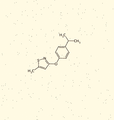 Cc1cc(Oc2ccc(C(C)C)cc2)ns1